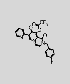 O=C(Oc1c(=O)c(-c2ccccn2)cn2ccn(Cc3ccc(F)cc3)c(=O)c12)C(F)(F)F